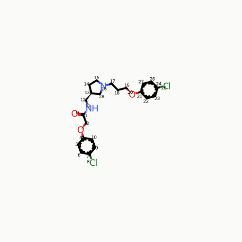 O=C(COc1ccc(Cl)cc1)NC[C@H]1CCN(CCCOc2ccc(Cl)cc2)C1